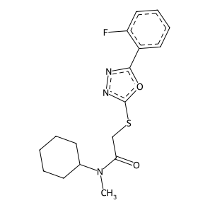 CN(C(=O)CSc1nnc(-c2ccccc2F)o1)C1CCCCC1